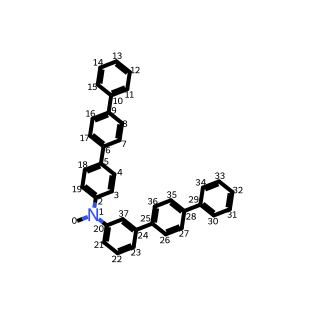 CN(c1ccc(-c2ccc(-c3ccccc3)cc2)cc1)c1cccc(-c2ccc(-c3ccccc3)cc2)c1